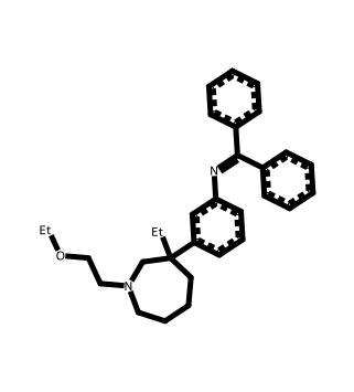 CCOCCN1CCCCC(CC)(c2cccc(N=C(c3ccccc3)c3ccccc3)c2)C1